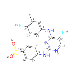 Cc1cc(Nc2nc(Nc3ccc([SH](=O)=O)cc3)ncc2F)ccc1F